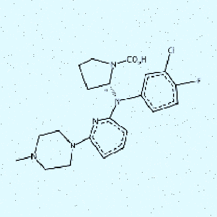 CN1CCN(c2cccc(N(c3ccc(F)c(Cl)c3)[C@@H]3CCCN3C(=O)O)n2)CC1